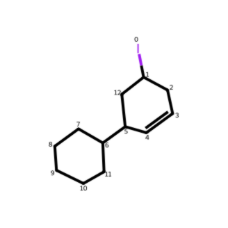 IC1CC=CC(C2CCCCC2)C1